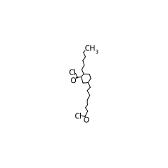 CCCCCCC1CCC(CCCCCCCC(=O)Cl)CC1C(=O)Cl